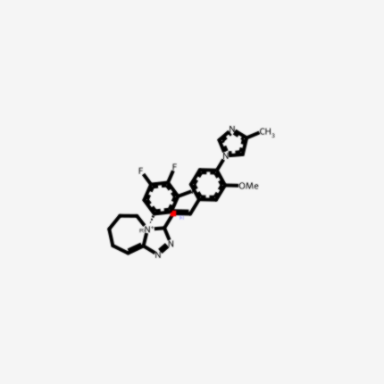 COc1cc(/C=C/C2N=NC3=CCCCC[N@+]32c2cc(F)c(F)c(F)c2)ccc1-n1cnc(C)c1